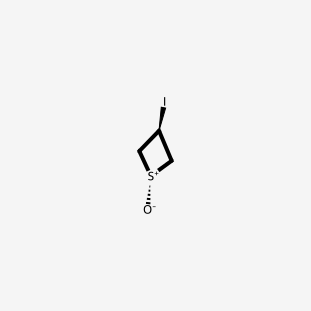 [O-][S@+]1C[C@@H](I)C1